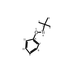 C[C](C)(C)[Ti][O]c1ccccc1